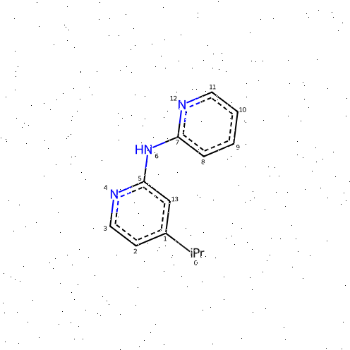 CC(C)c1ccnc(Nc2ccccn2)c1